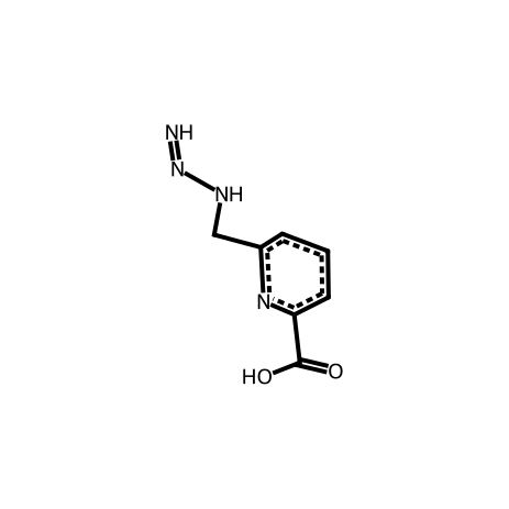 N=NNCc1cccc(C(=O)O)n1